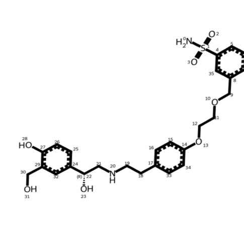 NS(=O)(=O)c1cccc(COCCOc2ccc(CCNC[C@H](O)c3ccc(O)c(CO)c3)cc2)c1